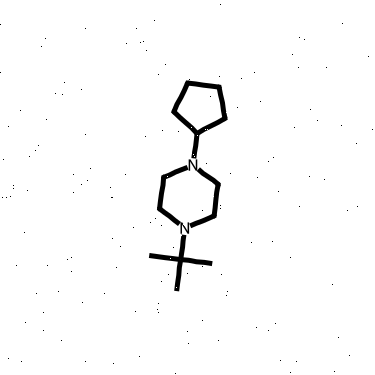 CC(C)(C)N1CCN(C2CCCC2)CC1